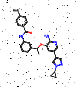 CSc1ccc(C(=O)Nc2cccc(C(C)Oc3cc(-c4cnn(C5CC5)c4)cnc3N)c2)cc1